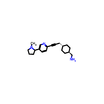 CN1CCCC1c1ccc(C#CC[C@H]2CC[C@H](CN)CC2)nc1